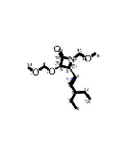 CCC(/C=C/[C@H]1[C@@H](OCOC)C(=O)N1COC)CC